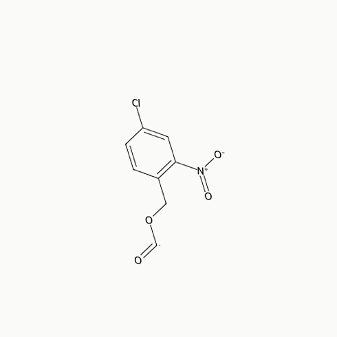 O=[C]OCc1ccc(Cl)cc1[N+](=O)[O-]